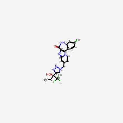 CCC(O)(c1cn(Cc2ccn3c(-c4ccc(F)cc4)c(C(N)=O)nc3c2)nn1)C(F)(F)F